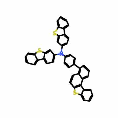 c1ccc2c(c1)sc1cc(N(c3ccc(-c4cccc5c4ccc4sc6ccccc6c45)cc3)c3ccc4c(c3)sc3ccccc34)ccc12